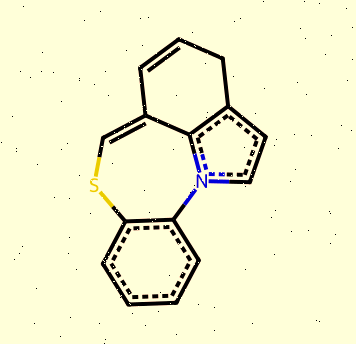 C1=CC2=CSc3ccccc3-n3ccc(c32)C1